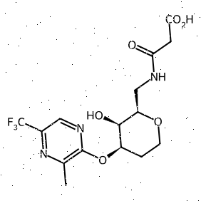 Cc1nc(C(F)(F)F)cnc1O[C@@H]1CCO[C@H](CNC(=O)CC(=O)O)[C@@H]1O